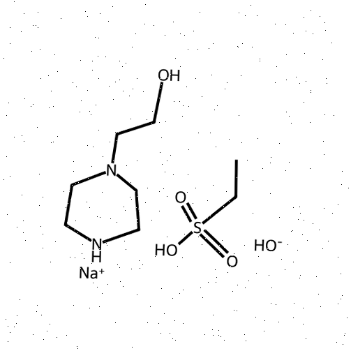 CCS(=O)(=O)O.OCCN1CCNCC1.[Na+].[OH-]